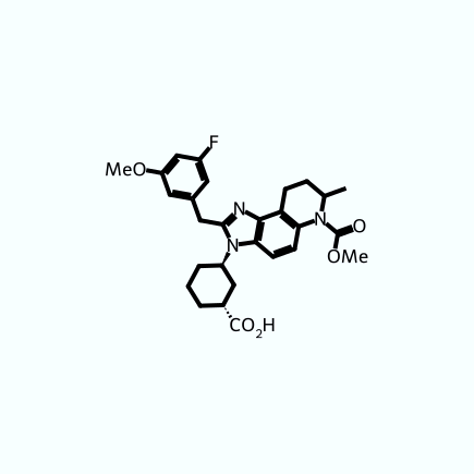 COC(=O)N1c2ccc3c(nc(Cc4cc(F)cc(OC)c4)n3[C@@H]3CCC[C@@H](C(=O)O)C3)c2CCC1C